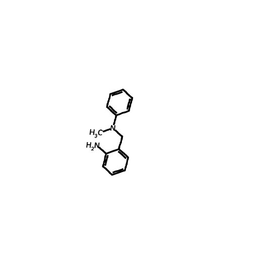 CN(Cc1ccccc1N)c1ccccc1